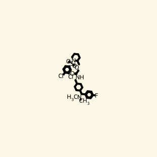 CN(C)C(c1ccc(F)cc1)C1CCC(CNC(=O)COCC2CCCCN2S(=O)(=O)c2ccc(Cl)c(Cl)c2)CC1